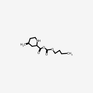 C=C1CCNC(C(=O)OC(=O)OCCCC)C1